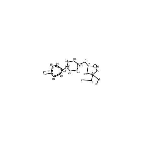 CCC1(CC)COC(CN2CCN(c3ccc(C)cc3)CC2)C1